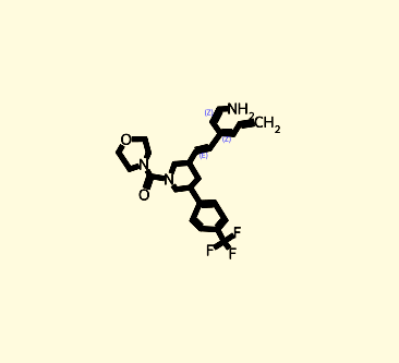 C=C/C=C(\C=C/N)/C=C/C1CC(c2ccc(C(F)(F)F)cc2)CN(C(=O)N2CCOCC2)C1